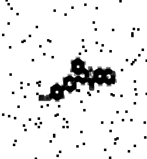 COc1ccc(N2CCN(CCN(C(=O)c3ccc4c(c3)CCOC4)[C@@H](C)c3ccccc3)CC2)cc1